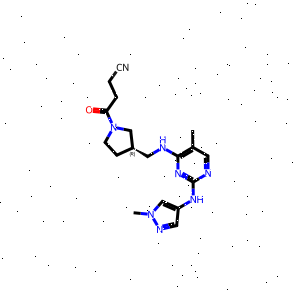 Cc1cnc(Nc2cnn(C)c2)nc1NC[C@H]1CCN(C(=O)CCC#N)C1